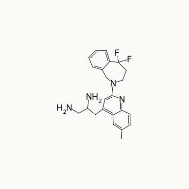 Cc1ccc2nc(N3CCC(F)(F)c4ccccc4C3)cc(CC(N)CN)c2c1